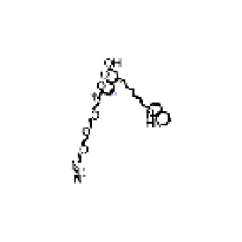 C=C(/C=C\C(=O)N(C)CCOCCOCCOCCN=[N+]=[N-])[C@H](CCCCCCc1ccc2c(n1)NCCC2)CC(=O)O